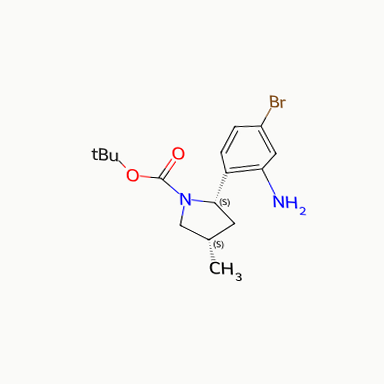 C[C@H]1C[C@@H](c2ccc(Br)cc2N)N(C(=O)OC(C)(C)C)C1